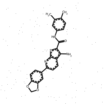 Cc1ccc(NC(=O)c2sc3nc(-c4ccc5c(c4)OCO5)ccc3c2N)cc1C